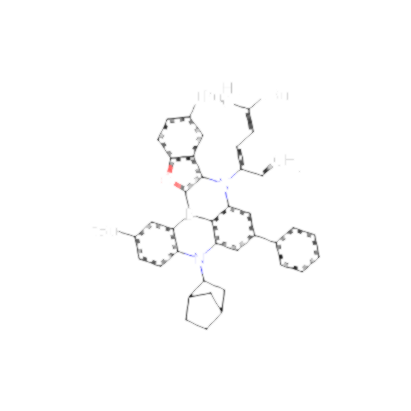 C=C/C(=C\C=C(/C)C(C)(C)C)N1c2cc(-c3ccccc3)cc3c2B(c2cc(C(C)(C)C)ccc2N3C2CC3CCC2C3)c2oc3ccc(C(C)(C)C)cc3c21